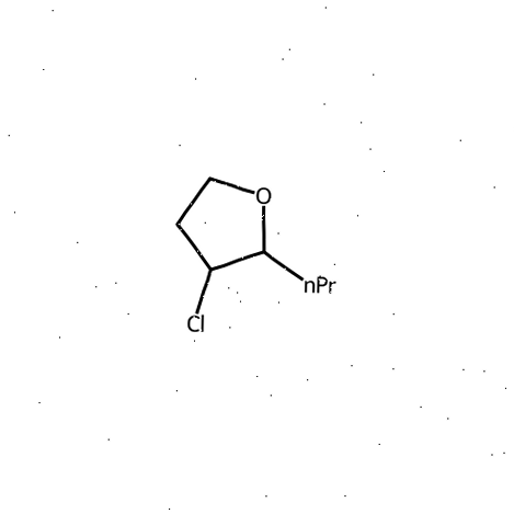 CCCC1OCCC1Cl